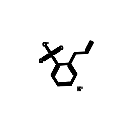 C=CCc1ccccc1S(=O)(=O)[O-].[K+]